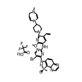 C=Cc1cc(Nc2ncc(Br)c(Nc3ccc4nccnc4c3P(C)(C)=O)n2)c(OC)nc1N1CCC(N2C=CCN(C)C=C2)CC1.O=C(O)C(F)(F)F